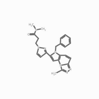 Cc1nnc2ccc3c(cc(-c4ccn(CCC(=O)N(C)C)n4)n3Cc3ccccc3)n12